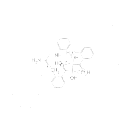 Cc1ccccc1C(=O)C(O)(C(=O)O)C(O)(C(=O)O)C(=O)c1ccccc1C.NC(=O)CNc1ccccc1